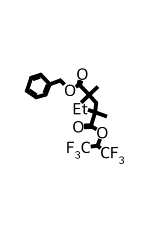 CCC(C)(CC(C)(C)C(=O)OCc1ccccc1)C(=O)OC(C(F)(F)F)C(F)(F)F